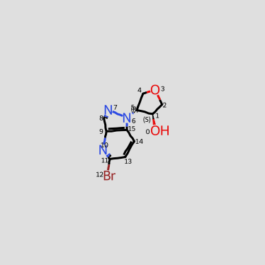 O[C@@H]1COC[C@H]1n1ncc2nc(Br)ccc21